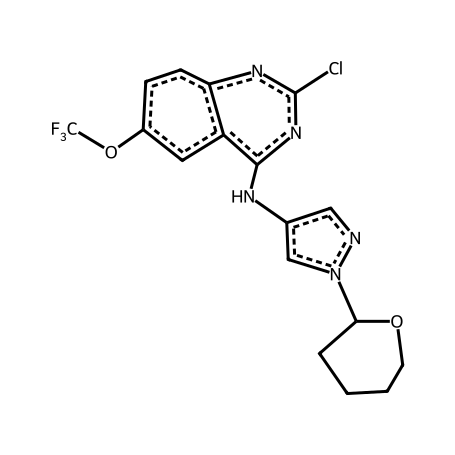 FC(F)(F)Oc1ccc2nc(Cl)nc(Nc3cnn(C4CCCCO4)c3)c2c1